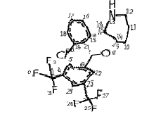 FC(F)(F)c1cc(CO[C@H]2CCCN[C@H]2c2cccc(Cl)c2)cc(C(F)(F)F)c1